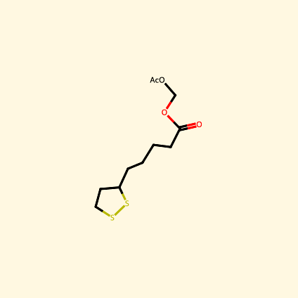 CC(=O)OCOC(=O)CCCCC1CCSS1